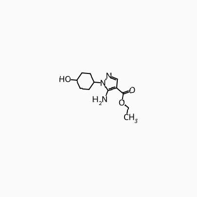 CCOC(=O)c1cnn(C2CCC(O)CC2)c1N